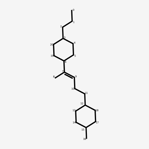 CCCC1CCC(C(C)=CCCC2CCC(C)CC2)CC1